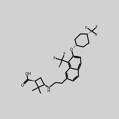 CC1(C)[C@@H](C(=O)O)C[C@H]1NCCc1ccc2ccc(O[C@H]3CC[C@@H](C(F)(F)F)CC3)c(C(F)(F)F)c2c1